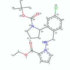 CCOC(=O)c1cccn1NCc1ccc(Cl)cc1C1CCCN1C(=O)OC(C)(C)C